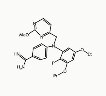 CCOc1cc(OC(C)C)c(F)c(N(Cc2ccnc(OC)n2)c2ccc(C(=N)N)cc2)c1